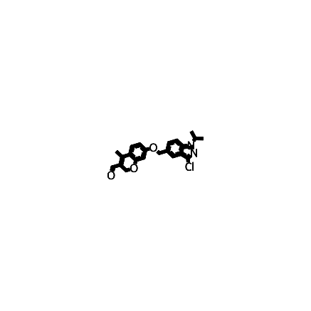 CC1=C(C=O)COc2cc(OCc3ccc4c(c3)c(Cl)nn4C(C)C)ccc21